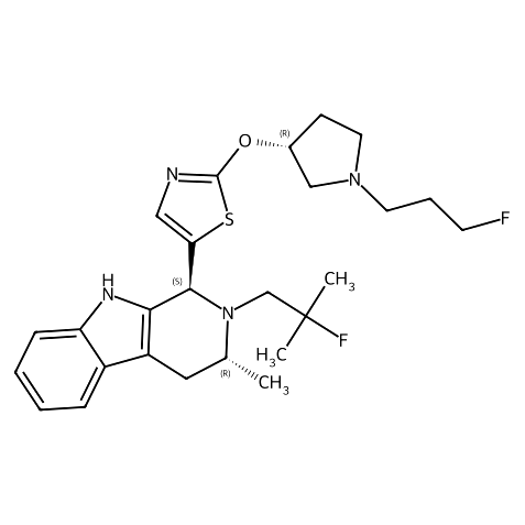 C[C@@H]1Cc2c([nH]c3ccccc23)[C@@H](c2cnc(O[C@@H]3CCN(CCCF)C3)s2)N1CC(C)(C)F